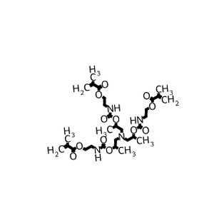 C=C(C)C(=O)OCCNC(=O)OC(C)CN(CC(C)OC(=O)NCCOC(=O)C(=C)C)CC(C)OC(=O)NCCOC(=O)C(=C)C